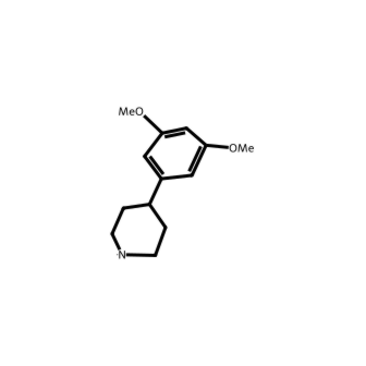 COc1cc(OC)cc(C2CC[N]CC2)c1